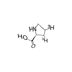 [3H]C1CN[C@H](C(=O)O)C1[3H]